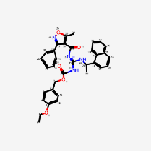 CCOc1ccc(COC(=O)N/C(=N/C(=O)c2c(-c3ccccc3)noc2C)NC(C)c2cccc3ccccc23)cc1